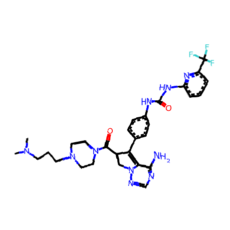 CN(C)CCCN1CCN(C(=O)C2CN3N=CN=C(N)C3=C2c2ccc(NC(=O)Nc3cccc(C(F)(F)F)n3)cc2)CC1